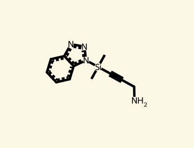 C[Si](C)(C#CCN)n1nnc2ccccc21